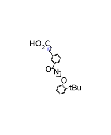 CC(C)(C)c1ccccc1OC1CN(C(=O)c2cccc(/C=C/C(=O)O)c2)C1